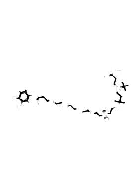 CC(C)(CCN(CCC(=O)O)C(C)(C)C)OCCS(=O)(=O)CCSCCOCCOCCSCCC(=O)Oc1c(F)c(F)c(F)c(F)c1F